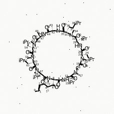 C/C=C/C[C@@H](C)C(=O)[C@H]1C(=O)N[C@@H](C(C)C)C(=O)N(C)CC(=O)N(C)[C@@H](CC(C)C)C(=O)N[C@@H](C(C)C)C(=O)N(C)[C@@H](CCC(C)C)C(=O)N[C@@H](C)C(=O)N[C@H](C)C(=O)N(C)[C@@H](CC(C)C)C(=O)N(C)[C@@H](CC(C)C)C(=O)N(C)[C@@H](C(C)C)C(=O)N1C